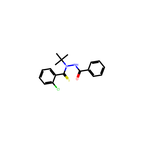 CC(C)(C)N(NC(=O)c1ccccc1)C(=S)c1ccccc1Cl